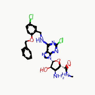 CNC(=O)[C@H]1O[C@@H](n2cnc3c(NCc4cc(Cl)ccc4OCc4ccccc4)nc(Cl)nc32)[C@H](O)[C@@H]1N